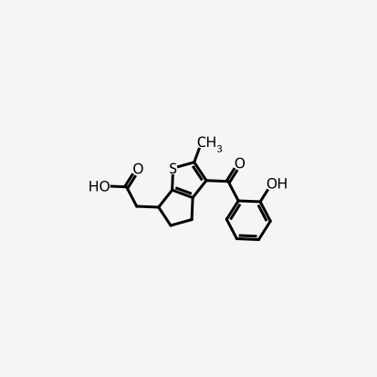 Cc1sc2c(c1C(=O)c1ccccc1O)CCC2CC(=O)O